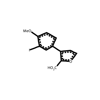 COc1ccc(-c2ccoc2C(=O)O)cc1I